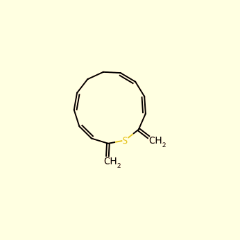 C=C1/C=C\C=C/CC/C=C\C=C/C(=C)S1